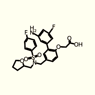 Nc1cc(F)cc(-c2cc(CN(CC3CCCO3)S(=O)(=O)c3ccc(F)cc3)ccc2OCC(=O)O)c1